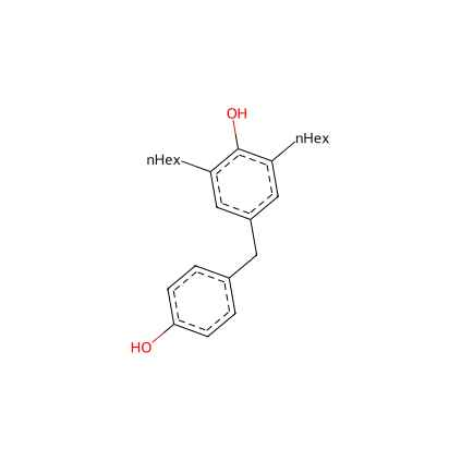 CCCCCCc1cc(Cc2ccc(O)cc2)cc(CCCCCC)c1O